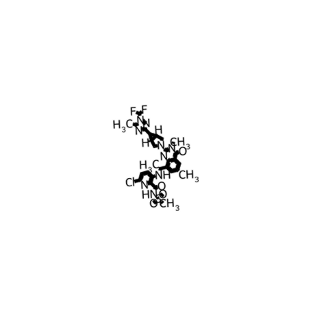 Cc1cc([C@@H](C)Nc2ccc(Cl)nc2C(=O)NS(C)(=O)=O)c2nc(N3C[C@@H]4C(c5nc(C)n(C(F)F)n5)[C@@H]4C3)n(C)c(=O)c2c1